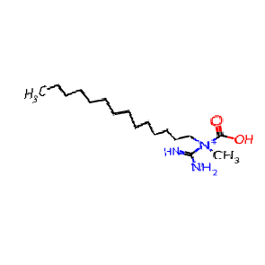 CCCCCCCCCCCCCC[N+](C)(C(=N)N)C(=O)O